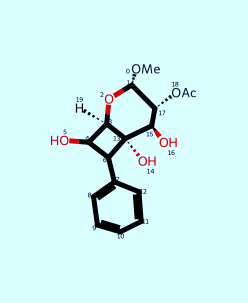 CO[C@H]1O[C@@H]2C(O)C(c3ccccc3)[C@]2(O)[C@H](O)[C@H]1OC(C)=O